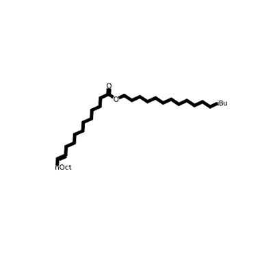 CCCCCCCCC=CCCCCCCCCCC(=O)OCCCCCCCCCCCCC(C)CC